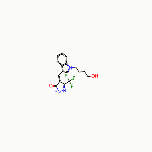 O=C1NN=C(C(F)(F)F)C1=Cc1cn(CCCCO)c2ccccc12